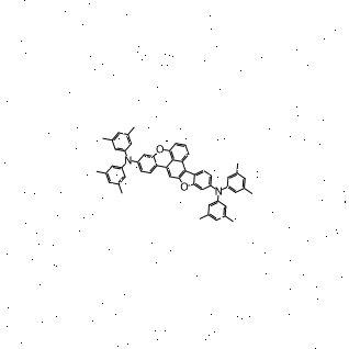 Cc1cc(C)cc(N(c2cc(C)cc(C)c2)c2ccc3c(c2)Oc2cccc4c2c-3cc2oc3cc(N(c5cc(C)cc(C)c5)c5cc(C)cc(C)c5)ccc3c24)c1